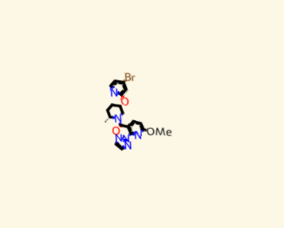 COc1ccc(C(=O)N2C[C@H](Oc3cc(Br)ccn3)CC[C@H]2C)c(-n2nccn2)n1